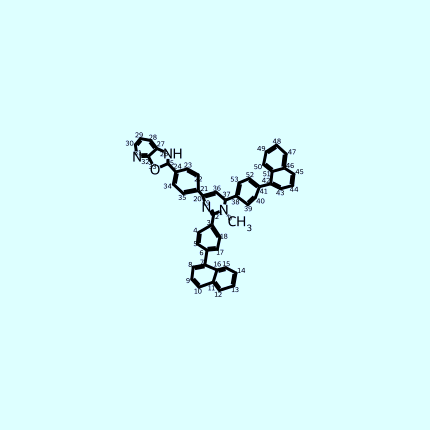 CN1C(c2ccc(-c3cccc4ccccc34)cc2)=NC(c2ccc(C3Nc4cccnc4O3)cc2)=CC1c1ccc(-c2cccc3ccccc23)cc1